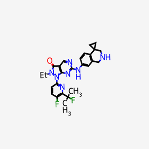 CCn1c(=O)c2cnc(Nc3ccc4c(c3)CNCC43CC3)nc2n1-c1ccc(F)c(C(C)(C)F)n1